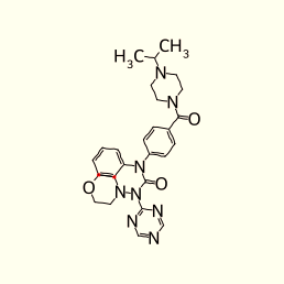 CC(C)N1CCN(C(=O)c2ccc(N(C(=O)N(c3ncncn3)N3CCOCC3)c3ccccc3)cc2)CC1